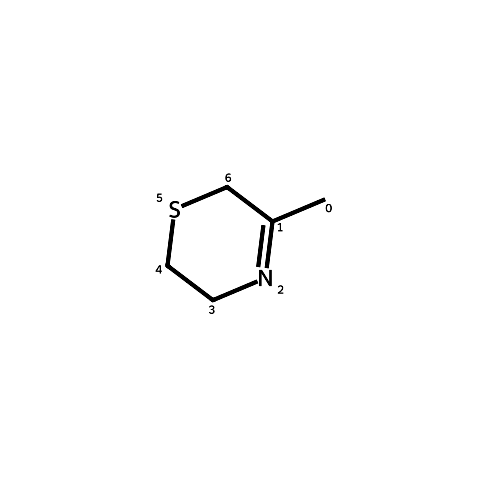 CC1=NCCSC1